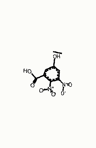 CC.O=C(O)c1cc(O)cc([N+](=O)[O-])c1[N+](=O)[O-]